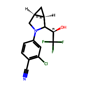 N#Cc1ccc(N2C[C@H]3C[C@H]3C2[C@@H](O)C(F)(F)F)cc1Cl